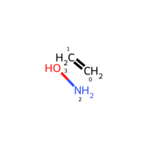 C=C.NO